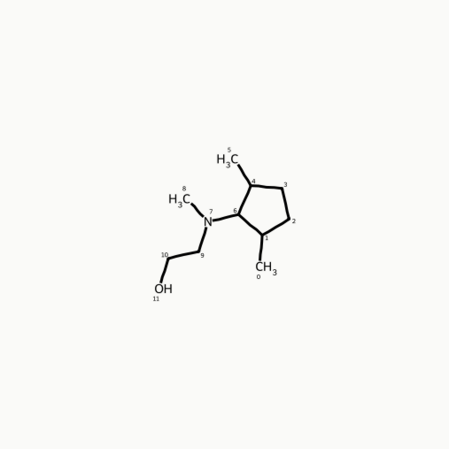 CC1CCC(C)C1N(C)CCO